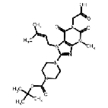 CC(C)=CCn1c(N2CCN(C(=O)OC(C)(C)C)CC2)nc2c1c(=O)n(CC(=O)O)c(=O)n2C